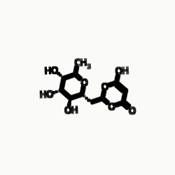 CC1O[C@H](CC2OC(=O)C=C(O)O2)[C@@H](O)[C@H](O)[C@@H]1O